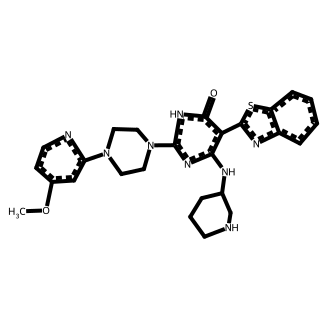 COc1ccnc(N2CCN(c3nc(NC4CCCNC4)c(-c4nc5ccccc5s4)c(=O)[nH]3)CC2)c1